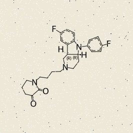 O=C1CCCN(CCCCN2CC[C@@H]3[C@@H](C2)c2cc(F)ccc2N3c2ccc(F)cc2)C1=O